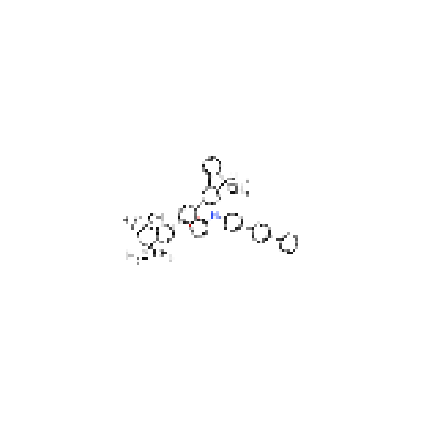 CC1(C)CCC(C)(C)c2cc(-c3ccc(-c4cc5c(cc4N(c4ccccc4)c4ccc(-c6ccc(-c7ccccc7)cc6)cc4)C(C)(C)c4ccccc4-5)cc3)ccc21